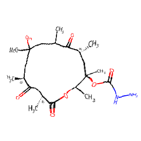 COC1(O)CC(C)C(=O)[C@H](C)CC(C)(OC(=O)NN)C(C)OC(=O)[C@H](C)C(=O)[C@@H](C)C1